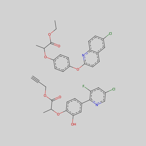 C#CCOC(=O)C(C)Oc1ccc(-c2ncc(Cl)cc2F)cc1O.CCOC(=O)C(C)Oc1ccc(Oc2ccc3cc(Cl)ccc3n2)cc1